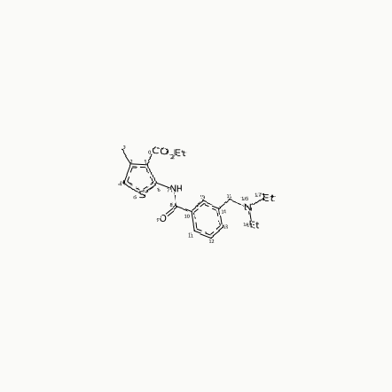 CCOC(=O)c1c(C)csc1NC(=O)c1cccc(CN(CC)CC)c1